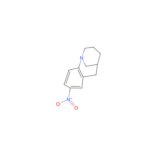 O=[N+]([O-])c1ccc2c(c1)CC1CCCN2C1